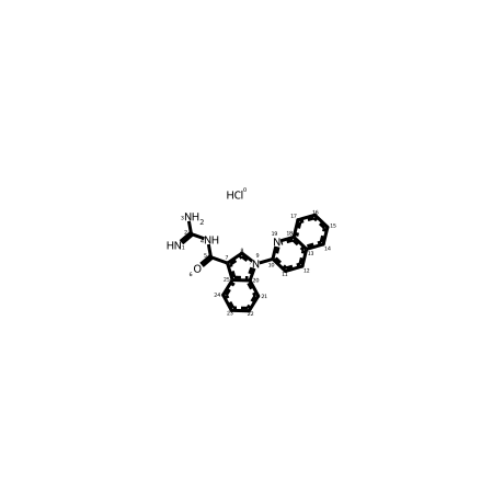 Cl.N=C(N)NC(=O)c1cn(-c2ccc3ccccc3n2)c2ccccc12